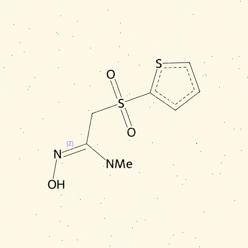 CN/C(CS(=O)(=O)c1cccs1)=N\O